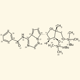 CC(C)(C)[Si](C)(C)OC[C@@]1(C)O[C@@H](c2ccc3c(NC(=O)c4ccccc4)ncnn23)[C@H](F)[C@@H]1O[Si](C)(C)C(C)(C)C